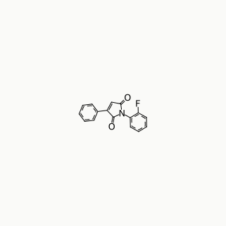 O=C1C=C(c2ccccc2)C(=O)N1c1ccccc1F